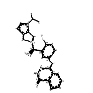 CC(C)n1ccc2c1CN(C(=O)c1cc(Cc3n[nH]c(=O)c4ccccc34)ccc1F)C2